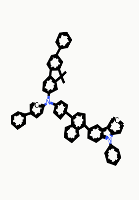 CC1(C)c2cc(-c3ccccc3)ccc2-c2ccc(N(c3ccc(-c4ccccc4)cc3)c3ccc(-c4ccc(-c5ccc6c(c5)c5ccccc5n6-c5ccccc5)c5ccccc45)cc3)cc21